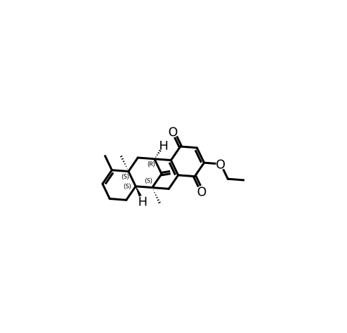 C=C1[C@H]2C[C@]3(C)C(C)=CCC[C@H]3[C@]1(C)CC1=C2C(=O)C=C(OCC)C1=O